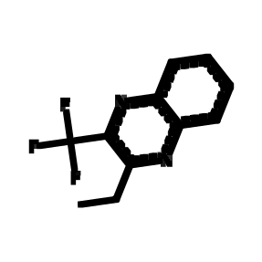 CCc1nc2ccccc2nc1C(F)(F)F